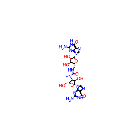 Nc1nc2c(ncn2[C@@H]2O[C@H](CNC(=O)N[C@H]3[C@@H](O)[C@H](n4cnc5c(=O)[nH]c(N)nc54)O[C@@H]3CO)[C@H](O)[C@H]2O)c(=O)[nH]1